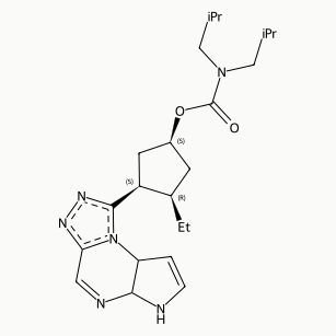 CC[C@@H]1C[C@H](OC(=O)N(CC(C)C)CC(C)C)C[C@@H]1c1nnc2n1C1C=CNC1N=C2